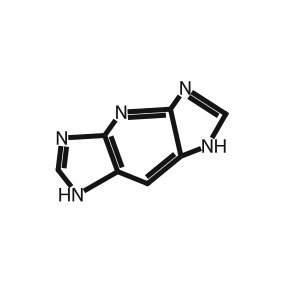 c1nc2nc3nc[nH]c3cc2[nH]1